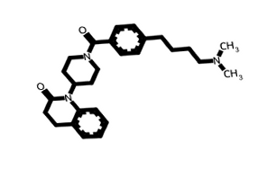 CN(C)CCCCc1ccc(C(=O)N2CCC(N3C(=O)CCc4ccccc43)CC2)cc1